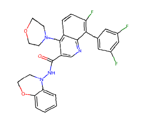 O=C(NN1CCOc2ccccc21)c1cnc2c(-c3cc(F)cc(F)c3)c(F)ccc2c1N1CCOCC1